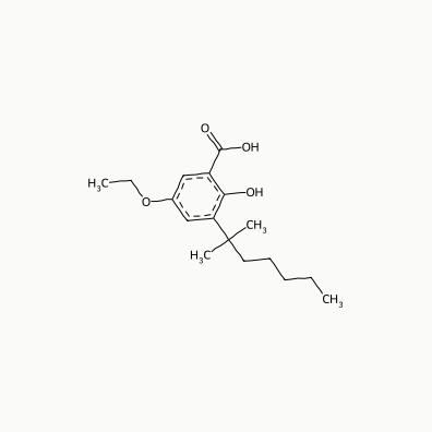 CCCCCC(C)(C)c1cc(OCC)cc(C(=O)O)c1O